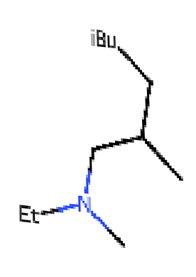 CCC(C)CC(C)CN(C)CC